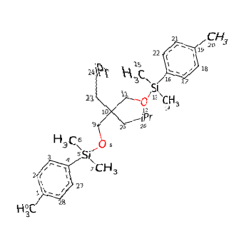 Cc1ccc([Si](C)(C)OCC(CO[Si](C)(C)c2ccc(C)cc2)(CC(C)C)CC(C)C)cc1